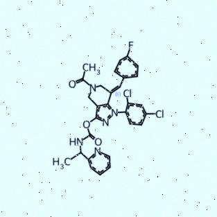 CC(=O)N1C/C(=C\c2ccc(F)cc2)c2c(c(OC(=O)NC(C)c3ccccn3)nn2-c2ccc(Cl)cc2Cl)C1